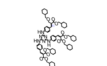 O=C(OCC1CCCCC1)C(=Cc1ccc(Nc2nc(Nc3ccc(C=C(C(=O)OCC4CCCCC4)C(=O)OCC4CCCCC4)cc3)nc(Nc3ccc(/C=C(\COCC4CCCCC4)C(=O)OCC4CCCCC4)cc3)n2)cc1)C(=O)OCC1CCCCC1